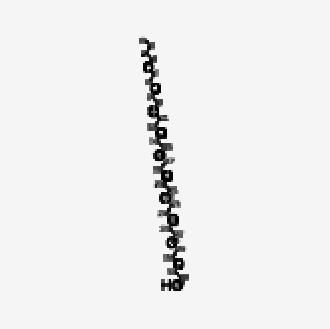 CCCCOCCOCCOCCOCCOCCOCCOCCOCCOCCOCCO